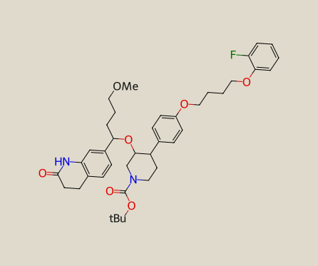 COCCCC(OC1CN(C(=O)OC(C)(C)C)CCC1c1ccc(OCCCCOc2ccccc2F)cc1)c1ccc2c(c1)NC(=O)CC2